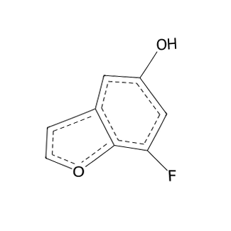 Oc1cc(F)c2occc2c1